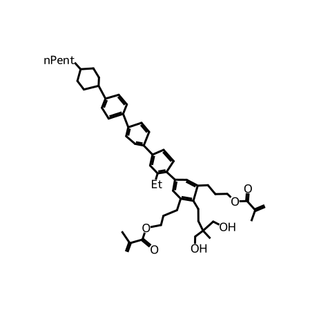 C=C(C)C(=O)OCCCc1cc(-c2ccc(-c3ccc(-c4ccc(C5CCC(CCCCC)CC5)cc4)cc3)cc2CC)cc(CCCOC(=O)C(=C)C)c1CCC(C)(CO)CO